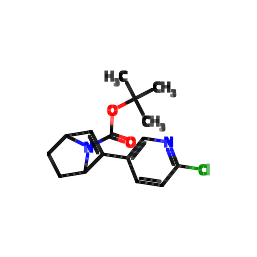 CC(C)(C)OC(=O)N1C2C=C(c3ccc(Cl)nc3)C1CC2